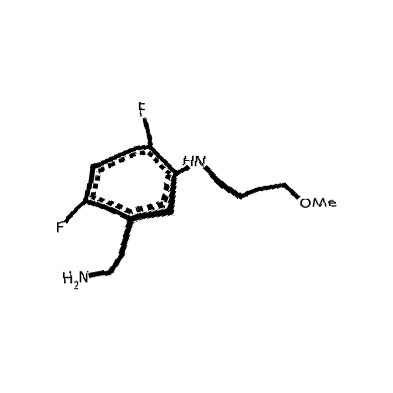 COCCNc1cc(CN)c(F)cc1F